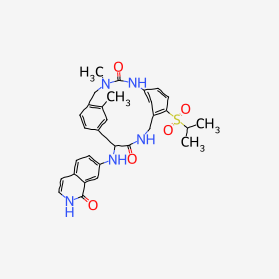 Cc1cc2ccc1CN(C)C(=O)Nc1ccc(S(=O)(=O)C(C)C)c(c1)CNC(=O)C2Nc1ccc2cc[nH]c(=O)c2c1